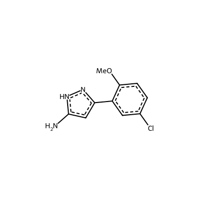 COc1ccc(Cl)cc1-c1cc(N)[nH]n1